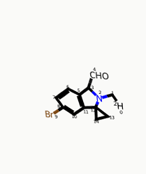 [2H]CN1C(C=O)c2ccc(Br)cc2C12CC2